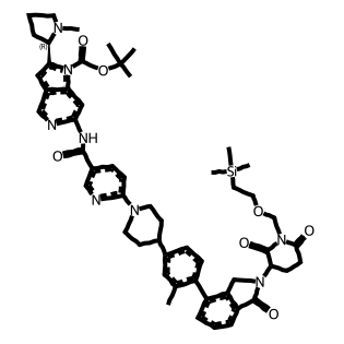 Cc1cc(C2CCN(c3ccc(C(=O)Nc4cc5c(cn4)cc([C@H]4CCCN4C)n5C(=O)OC(C)(C)C)cn3)CC2)ccc1-c1cccc2c1CN(C1CCC(=O)N(COCC[Si](C)(C)C)C1=O)C2=O